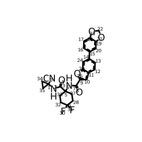 N#CC1(NC(=O)C2(NC(=O)c3cc4ccc(-c5ccc6c(c5)OCO6)cc4o3)CCC(F)(F)CC2)CC1